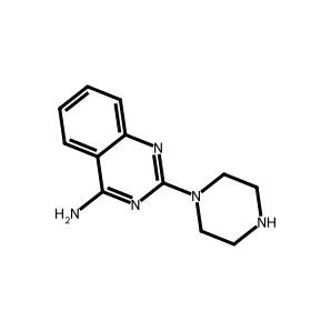 Nc1nc(N2CCNCC2)nc2ccccc12